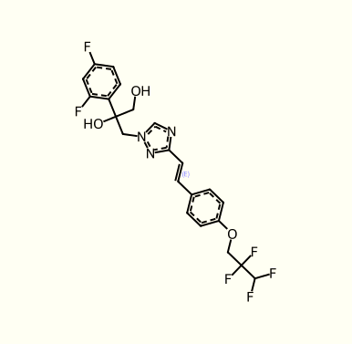 OCC(O)(Cn1cnc(/C=C/c2ccc(OCC(F)(F)C(F)F)cc2)n1)c1ccc(F)cc1F